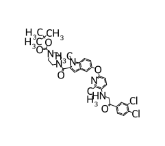 Cc1nc(Oc2ccc3c(c2)cc(C(=O)N2CCN(C(=O)OC(C)(C)C)CC2)n3C)ccc1NCC(=O)c1ccc(Cl)c(Cl)c1